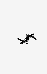 CCCCCC(CCC)COC(=O)c1ccc(C(=O)OCC(CCC)CCCCC)cc1